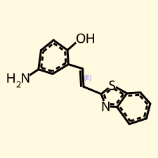 Nc1ccc(O)c(/C=C/c2nc3ccccc3s2)c1